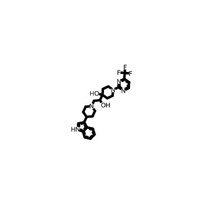 OC(CN1CCC(c2c[nH]c3ccccc23)CC1)C1(O)CCN(c2nccc(C(F)(F)F)n2)CC1